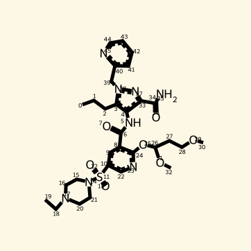 CCCc1c(NC(=O)c2cc(S(=O)(=O)N3CCN(CC)CC3)cnc2OC(CCOC)OC)c(C(N)=O)nn1Cc1ccccn1